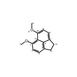 COc1ccc2c3c(ccc(OC)c13)CC2